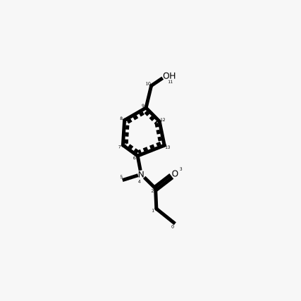 CCC(=O)N(C)c1ccc(CO)cc1